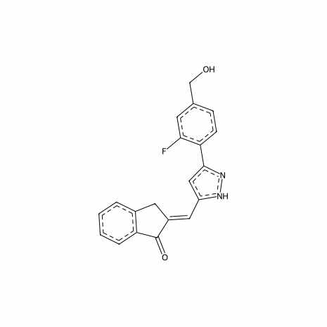 O=C1/C(=C/c2cc(-c3ccc(CO)cc3F)n[nH]2)Cc2ccccc21